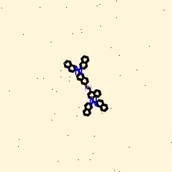 C(=C\c1ccc(N(c2ccc3ccccc3c2)c2ccc3ccccc3c2)c2ccccc12)/c1ccc2cc(N(c3ccc4ccccc4c3)c3ccc4ccccc4c3)ccc2c1